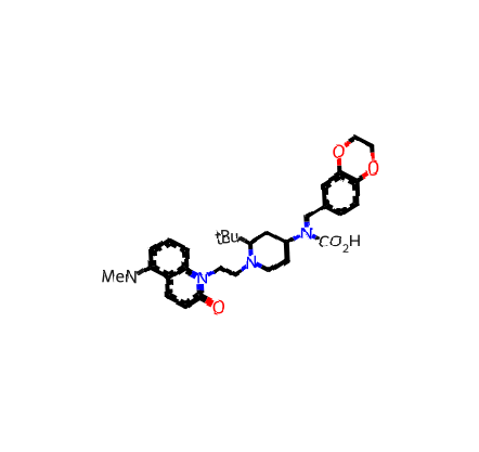 CNc1cccc2c1ccc(=O)n2CCN1CCC(N(Cc2ccc3c(c2)OCCO3)C(=O)O)CC1C(C)(C)C